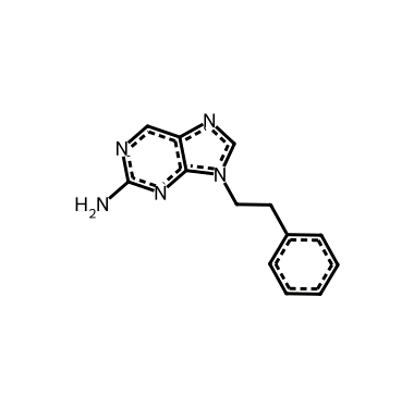 Nc1ncc2ncn(CCc3ccccc3)c2n1